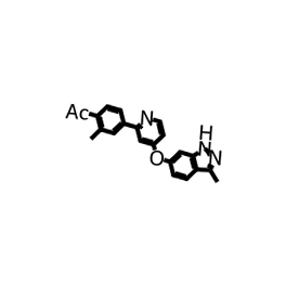 CC(=O)c1ccc(-c2cc(Oc3ccc4c(C)n[nH]c4c3)ccn2)cc1C